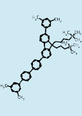 Cc1cc(C)cc(-c2ccc(-c3ccc(-c4ccc5c(c4)-c4ccc(-c6cc(C)cc(C)c6)cc4C5(CCCC[N+](C)(C)C)CCC[N+](C)(C)C)cc3)cc2)c1